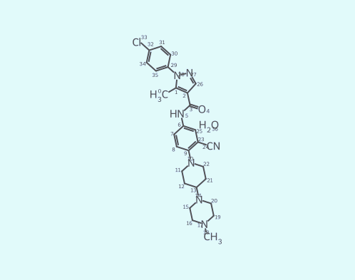 Cc1c(C(=O)Nc2ccc(N3CCC(N4CCN(C)CC4)CC3)c(C#N)c2)cnn1-c1ccc(Cl)cc1.O